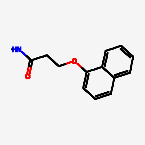 [NH]C(=O)CCOc1cccc2ccccc12